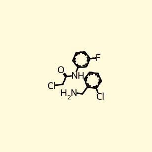 NCc1ccccc1Cl.O=C(CCl)Nc1cccc(F)c1